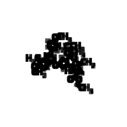 C=C[C@@H]1C[C@]1(NC(=O)[C@@H]1C[C@@H](Oc2nc(-c3ccc(OC)cc3)nc3c(C)c(OC)ccc23)C[C@H]1C(=O)OC(C)(C)C)C(=O)OCC